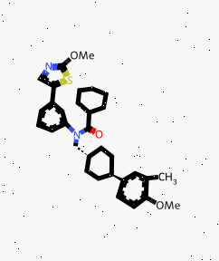 COc1ncc(-c2cccc(N(C[C@H]3CC[C@H](c4ccc(OC)c(C)c4)CC3)C(=O)C3CCCCC3)c2)s1